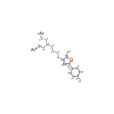 CC(=O)SCC(CCCCc1nc(-c2ccc(C)cc2)oc1C)CSC(C)=O